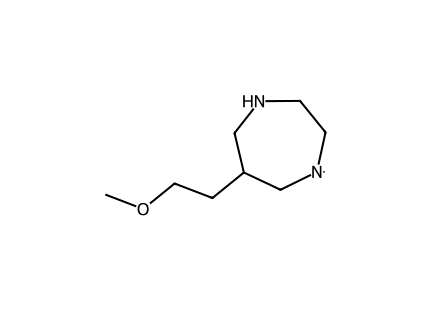 COCCC1C[N]CCNC1